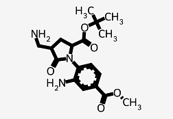 COC(=O)c1ccc(N2C(=O)C(CN)CC2C(=O)OC(C)(C)C)c(N)c1